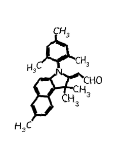 Cc1cc(C)c(N2/C(=C/C=O)C(C)(C)c3c2ccc2cc(C)ccc32)c(C)c1